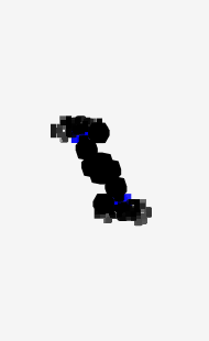 CC1(C)N=C(c2ccc(-c3ccc4ccc5c(-c6ccc(C7=NC(C)(C)C(C)(C)N7c7ccccc7)cc6)ccc6ccc3c4c65)cc2)N(c2ccccc2)C1(C)C